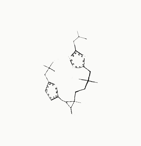 CC(C)Cc1nnc(CC(C)(C)CCC2(C)C(C)C2c2ccc(CC(C)(C)C)o2)[nH]1